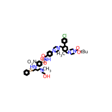 CN(CCO)CCC(CSc1ccccc1)Nc1ccc(S(=O)(=O)NC(=O)c2ccc(N3CCN(CC4=C(c5ccc(Cl)cc5)CCC(C)(CN5CCN(C(=O)OC(C)(C)C)CC5)C4)CC3)cc2)cc1[N+](=O)[O-]